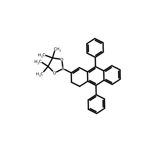 CC1(C)OB(C2=Cc3c(c(-c4ccccc4)c4ccccc4c3-c3ccccc3)CC2)OC1(C)C